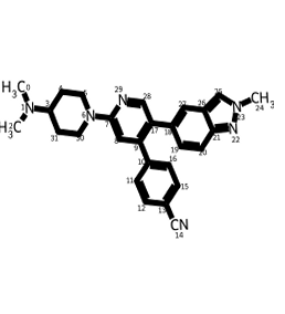 CN(C)C1CCN(c2cc(-c3ccc(C#N)cc3)c(-c3ccc4nn(C)cc4c3)cn2)CC1